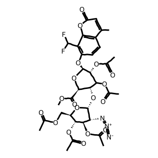 COC(=O)[C@H]1O[C@@H](Oc2ccc3c(C)cc(=O)oc3c2C(F)F)[C@H](OC(C)=O)C(OC(C)=O)[C@@H]1O[C@H]1O[C@H](COC(C)=O)[C@@H](OC(C)=O)[C@H](OC(C)=O)[C@H]1N=[N+]=[N-]